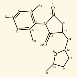 Cc1cc(C)c(C2C(=O)CC(CC3CCC(C)O3)C2=O)c(C)c1